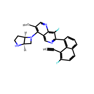 C#Cc1c(F)ccc2cccc(-c3ncc4c(N5C[C@H]6NCC[C@H]65)c(OC)cnc4c3F)c12